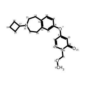 COCn1ncc(Oc2ccc3c(c2)CCN(C2CCC2)CC3)cc1=O